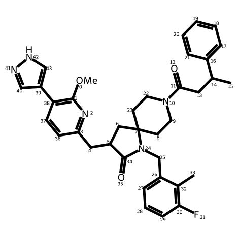 COc1nc(CC2CC3(CCN(C(=O)CC(C)c4ccccc4)CC3)N(Cc3cccc(F)c3C)C2=O)ccc1-c1cn[nH]c1